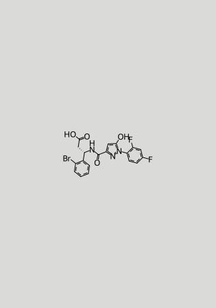 O=C(O)C[C@H](NC(=O)c1cc(O)n(-c2ccc(F)cc2F)n1)c1ccccc1Br